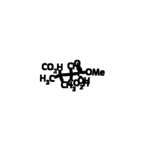 COP(=O)(O)C(C)(C(=O)O)C(C)(C)C(=O)O